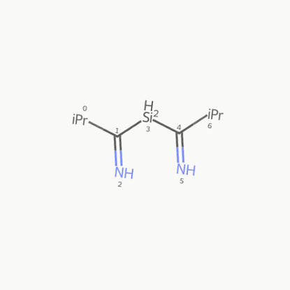 CC(C)C(=N)[SiH2]C(=N)C(C)C